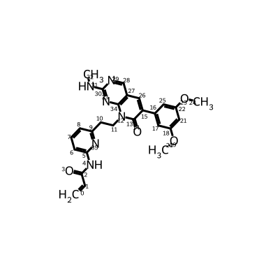 C=CC(=O)Nc1cccc(CCn2c(=O)c(-c3cc(OC)cc(OC)c3)cc3cnc(NC)nc32)n1